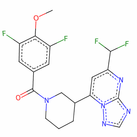 COc1c(F)cc(C(=O)N2CCCC(c3cc(C(F)F)nc4ncnn34)C2)cc1F